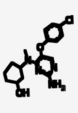 CN(c1nc(N)ncc1Oc1ccc(Cl)cc1)C1CCCC(O)C1